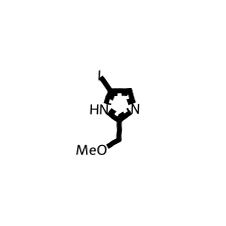 COCc1ncc(I)[nH]1